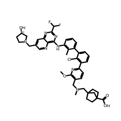 COc1nc(-c2cccc(-c3cccc(Nc4nc(C(F)F)nc5cc(CN6CC[C@@H](O)C6)cnc45)c3C)c2Cl)ccc1CN(C)CC12CCC(C(=O)O)(CC1)C2